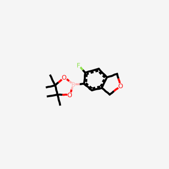 CC1(C)OB(c2cc3c(cc2F)COC3)OC1(C)C